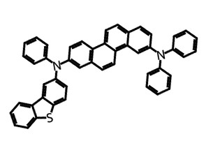 c1ccc(N(c2ccccc2)c2ccc3ccc4c5ccc(N(c6ccccc6)c6ccc7sc8ccccc8c7c6)cc5ccc4c3c2)cc1